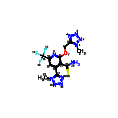 Cn1nnnc1COc1nc(C(F)(F)F)cc(-c2nnnn2C)c1C(N)=S